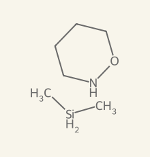 C1CCONC1.C[SiH2]C